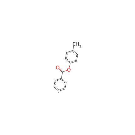 Cc1ccc(OC(=O)c2cc[c]cc2)cc1